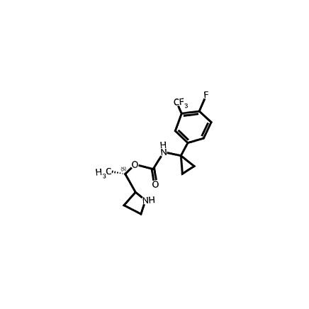 C[C@H](OC(=O)NC1(c2ccc(F)c(C(F)(F)F)c2)CC1)C1CCN1